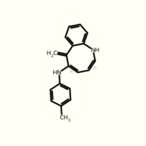 C=C1/C(Nc2ccc(C)cc2)=C\C=C/Nc2ccccc21